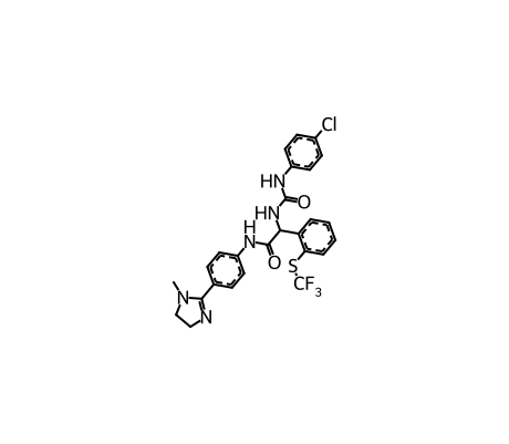 CN1CCN=C1c1ccc(NC(=O)C(NC(=O)Nc2ccc(Cl)cc2)c2ccccc2SC(F)(F)F)cc1